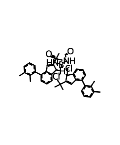 Cc1cccc(-c2cccc3c2C=C(C(C)(C)C)[CH]3[Hf]([Cl])([Cl])([B](NC=O)NC=O)[CH]2C(C(C)(C)C)=Cc3c(-c4cccc(C)c4C)cccc32)c1C